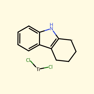 [CH]1CCCc2c1[nH]c1ccccc21.[Cl][Ti][Cl]